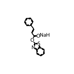 O=C(/C=C/c1ccccc1)Oc1nc2ccccc2s1.[NaH]